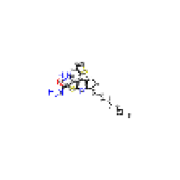 CCCCCCCC1CCc2c1nc1sc(C(N)=O)c(N)c1c2-c1cccs1